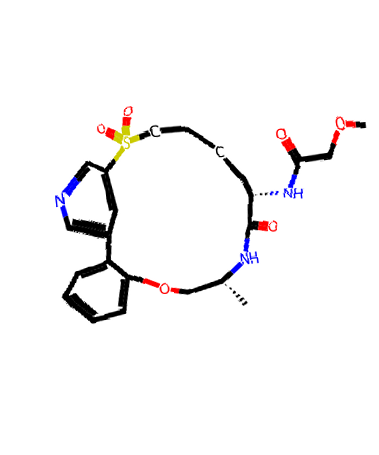 COCC(=O)N[C@H]1CCCCS(=O)(=O)c2cncc(c2)-c2ccccc2OC[C@@H](C)NC1=O